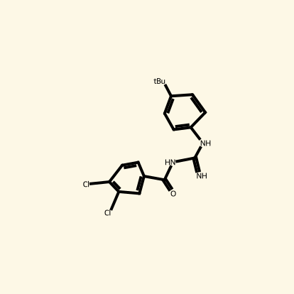 CC(C)(C)c1ccc(NC(=N)NC(=O)c2ccc(Cl)c(Cl)c2)cc1